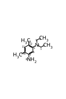 CCN(CC)c1cc(N)c(C)cc1C